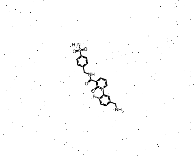 NCc1ccc(F)c(-n2cccc(C(=O)NCc3ccc(S(N)(=O)=O)cc3)c2=O)c1